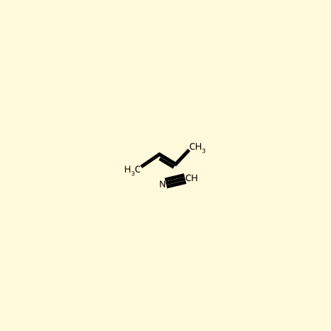 C#N.CC=CC